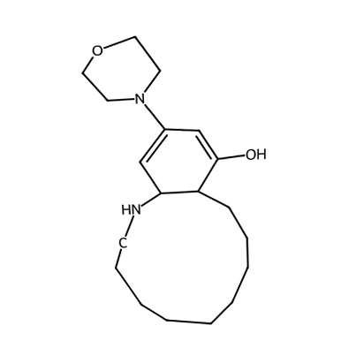 OC1=CC(N2CCOCC2)=CC2NCCCCCCCCCC12